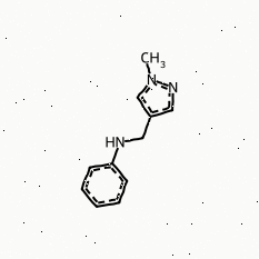 Cn1cc(CNc2ccccc2)cn1